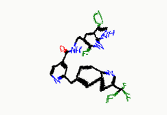 O=C(NCc1cc2c(Cl)c[nH]c2nc1F)c1ccnc(Cc2ccc3ncc(C(F)(F)F)cc3c2)c1